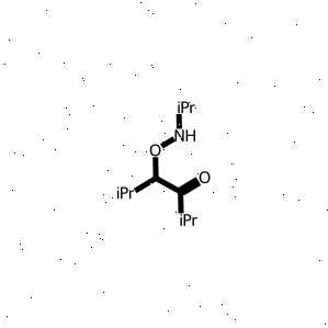 CC(C)NOC(C(=O)C(C)C)C(C)C